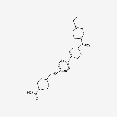 CCN1CCN(C(=O)C2CC=C(c3ccc(OCC4CCN(C(=O)O)CC4)cc3)CC2)CC1